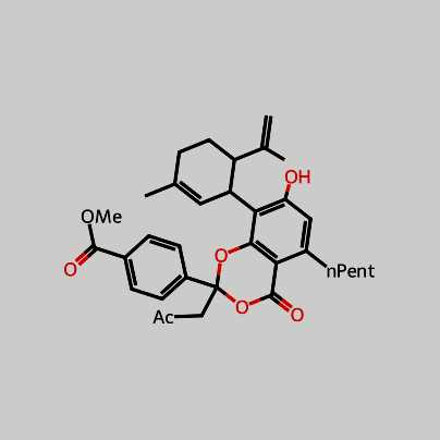 C=C(C)C1CCC(C)=CC1c1c(O)cc(CCCCC)c2c1OC(CC(C)=O)(c1ccc(C(=O)OC)cc1)OC2=O